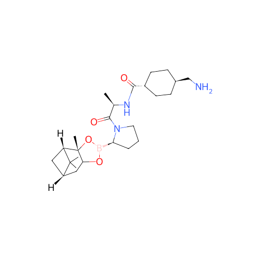 C[C@@H](NC(=O)[C@H]1CC[C@H](CN)CC1)C(=O)N1CCC[C@H]1B1OC2C[C@@H]3C[C@@H](C3(C)C)[C@]2(C)O1